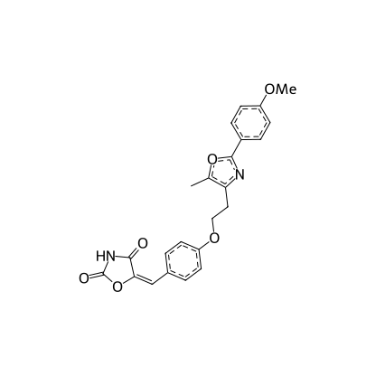 COc1ccc(-c2nc(CCOc3ccc(C=C4OC(=O)NC4=O)cc3)c(C)o2)cc1